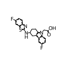 O=C(O)Cn1c2c(c3cc(F)ccc31)CC(Nc1nc3ccc(F)cc3s1)CC2